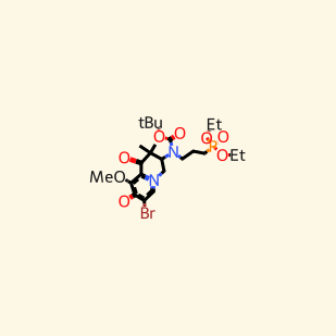 CCOP(=O)(CCCN(C(=O)OC(C)(C)C)C1Cn2cc(Br)c(=O)c(OC)c2C(=O)C1(C)C)OCC